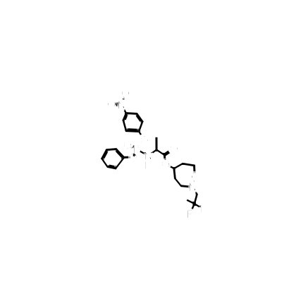 CC(NP(=O)(Oc1ccccc1)Oc1ccc([N+](=O)[O-])cc1)C(=O)OC1CCCN(CC(F)(F)F)CC1